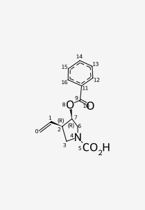 C=C[C@@H]1CN(C(=O)O)C[C@@H]1OC(=O)c1ccccc1